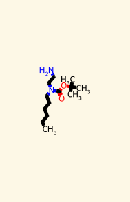 CCCCCCN(CCN)C(=O)OC(C)(C)C